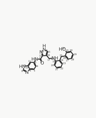 O=C(Nc1ccc2nc[nH]c2c1)c1n[nH]cc1CNc1ccccc1Cc1ccccc1O